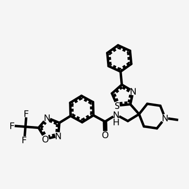 CN1CCC(CNC(=O)c2cccc(-c3noc(C(F)(F)F)n3)c2)(c2nc(-c3ccccc3)cs2)CC1